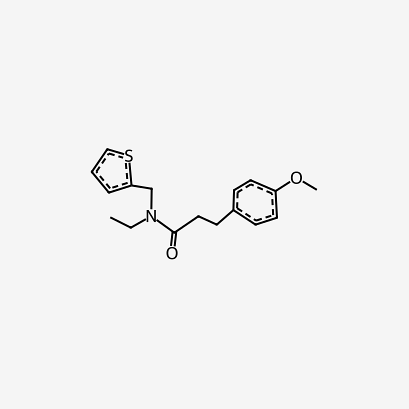 CCN(Cc1cccs1)C(=O)CCc1ccc(OC)cc1